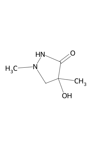 CN1CC(C)(O)C(=O)N1